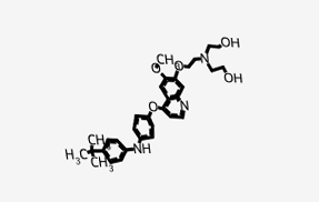 COc1cc2c(Oc3ccc(Nc4ccc(C(C)(C)C)cc4)cc3)ccnc2cc1OCCN(CCO)CCO